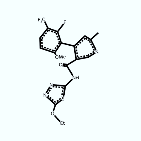 CCOc1nnc(NC(=O)c2cnc(C)cc2-c2c(OC)ccc(C(F)(F)F)c2F)s1